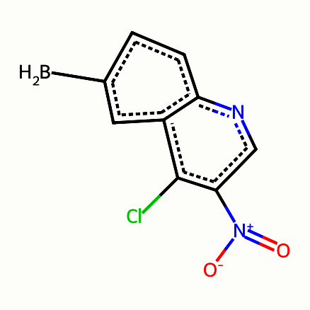 Bc1ccc2ncc([N+](=O)[O-])c(Cl)c2c1